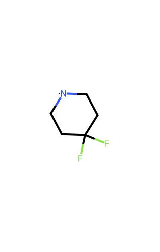 FC1(F)CC[N]CC1